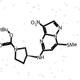 CSc1cc(N[C@H]2CCN(C(=O)OC(C)(C)C)C2)nc2c([N+](=O)[O-])cnn12